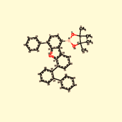 CC1(C)OB(c2ccc(-c3ccccc3)c3oc4c(-c5ccccc5-c5ccccc5)cccc4c23)OC1(C)C